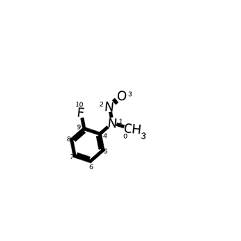 CN(N=O)c1ccccc1F